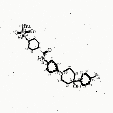 CC(C)(C)S(=O)(=O)N[C@H]1CC[C@H](C(=O)Nc2ccc(N3CCC(O)(c4ccc(Cl)cc4)CC3)cc2)CC1